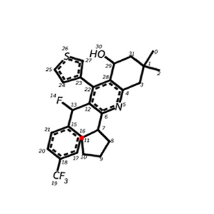 CC1(C)Cc2nc(C3CCCC3)c(C(F)c3ccc(C(F)(F)F)cc3)c(-c3ccsc3)c2C(O)C1